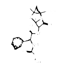 CC(C)(C)OC(=O)NC(C(=O)NC1C(=O)N2[C@@H]1SC1(C)CC21C(=O)O)c1ccccc1